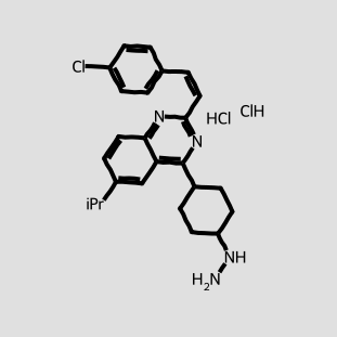 CC(C)c1ccc2nc(/C=C\c3ccc(Cl)cc3)nc(C3CCC(NN)CC3)c2c1.Cl.Cl